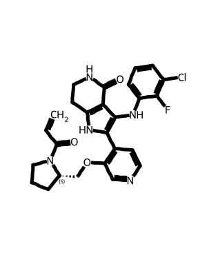 C=CC(=O)N1CCC[C@H]1COc1cnccc1-c1[nH]c2c(c1Nc1cccc(Cl)c1F)C(=O)NCC2